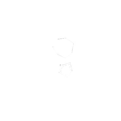 C1CCCCCC1.c1cc[nH]c1